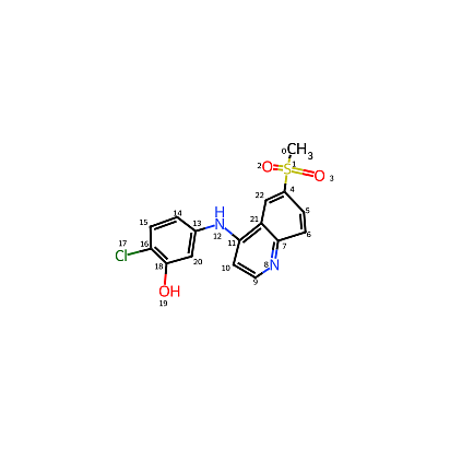 CS(=O)(=O)c1ccc2nccc(Nc3ccc(Cl)c(O)c3)c2c1